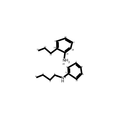 CCCCNc1ccccc1.CCCc1ccccc1N